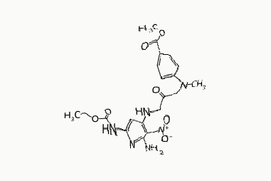 CCOC(=O)Nc1cc(NCC(=O)CN(C)c2ccc(C(=O)OC)cc2)c([N+](=O)[O-])c(N)n1